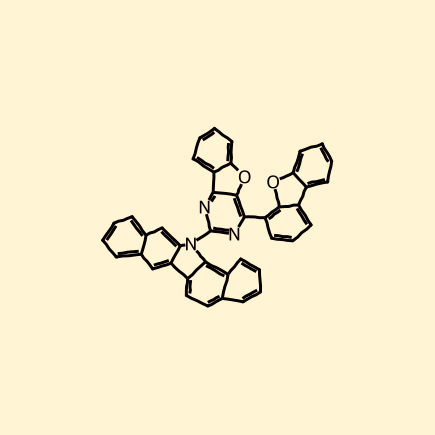 c1ccc2cc3c(cc2c1)c1ccc2ccccc2c1n3-c1nc(-c2cccc3c2oc2ccccc23)c2oc3ccccc3c2n1